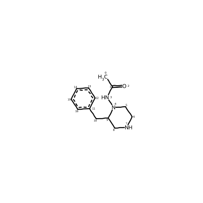 CC(=O)NN1CCNCC1Cc1ccccc1